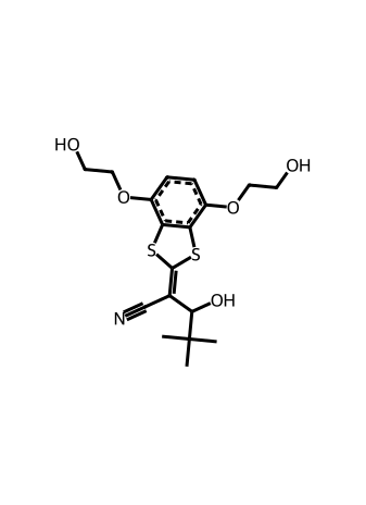 CC(C)(C)C(O)C(C#N)=C1Sc2c(OCCO)ccc(OCCO)c2S1